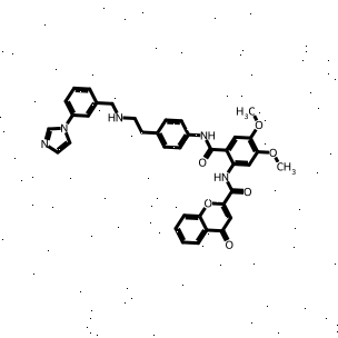 COc1cc(NC(=O)c2cc(=O)c3ccccc3o2)c(C(=O)Nc2ccc(CCNCc3cccc(-n4ccnc4)c3)cc2)cc1OC